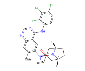 C=CC(=O)N1[C@@H]2CC[C@H]1C[C@H](Nc1cc3c(Nc4ccc(Cl)c(Cl)c4F)ncnc3cc1OC)C2